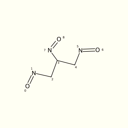 O=NCC(CN=O)N=O